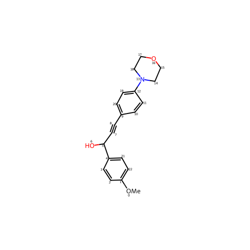 COc1ccc(C(O)C#Cc2ccc(N3CCOCC3)cc2)cc1